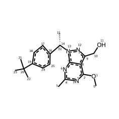 COc1nc(C)nc2c1c(CO)nn2[C@@H](C)c1ccc(C(C)(C)C)cc1